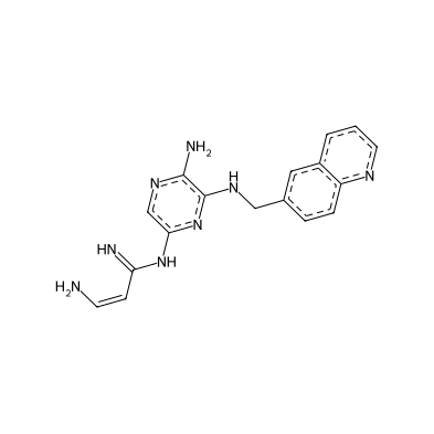 N=C(/C=C\N)Nc1cnc(N)c(NCc2ccc3ncccc3c2)n1